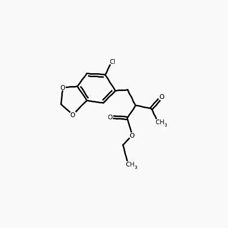 CCOC(=O)C(Cc1cc2c(cc1Cl)OCO2)C(C)=O